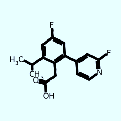 CC(C)c1cc(F)cc(-c2ccnc(F)c2)c1CC(=O)O